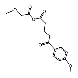 COCC(=O)OC(=O)CCCC(=O)c1ccc(OC)cc1